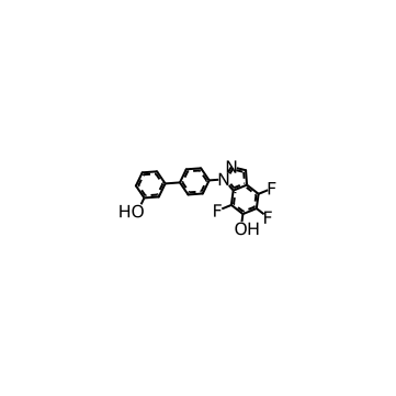 Oc1cccc(-c2ccc(-n3ncc4c(F)c(F)c(O)c(F)c43)cc2)c1